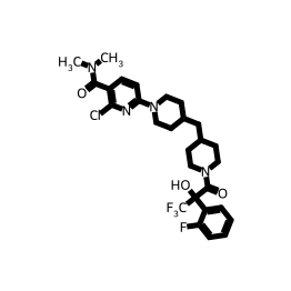 CN(C)C(=O)c1ccc(N2CCC(CC3CCN(C(=O)C(O)(c4ccccc4F)C(F)(F)F)CC3)CC2)nc1Cl